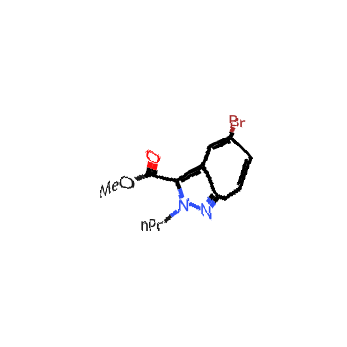 CCCn1nc2ccc(Br)cc2c1C(=O)OC